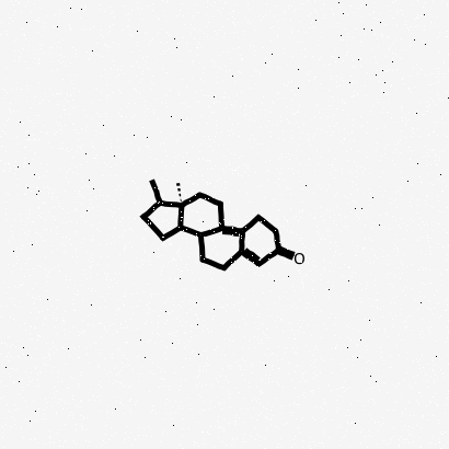 CC1CCC2C3CCC4=CC(=O)CCC4=C3CC[C@]12C